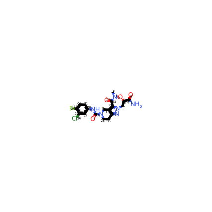 CN1OC(C(N)=O)Cn2nc3c(c2C1=O)CN(C(=O)Nc1ccc(F)c(Cl)c1)CC3